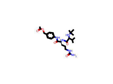 CC(=O)OCc1ccc(NC(=O)[C@H](CCCNC(N)=O)NC(=O)C(NC(C)(C)C)C(C)C)cc1